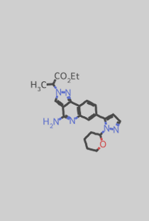 CCOC(=O)C(C)n1cc2c(N)nc3cc(-c4ccnn4C4CCCCO4)ccc3c2n1